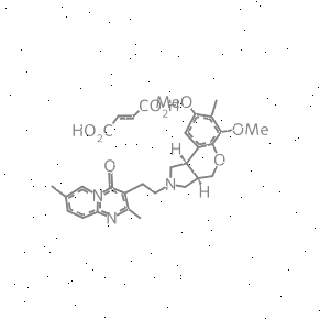 COc1cc2c(c(OC)c1C)OC[C@@H]1CN(CCc3c(C)nc4ccc(C)cn4c3=O)C[C@H]21.O=C(O)/C=C/C(=O)O